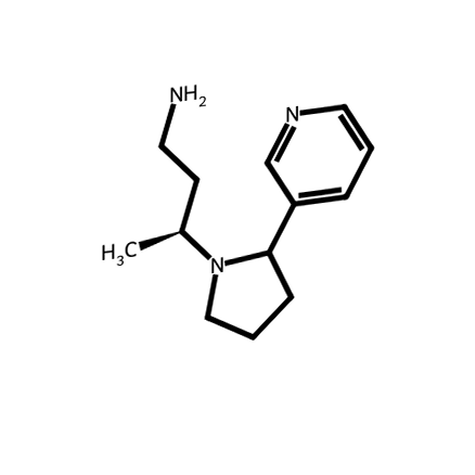 C[C@@H](CCN)N1CCCC1c1cccnc1